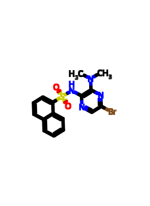 CN(C)c1nc(Br)cnc1NS(=O)(=O)c1cccc2ccccc12